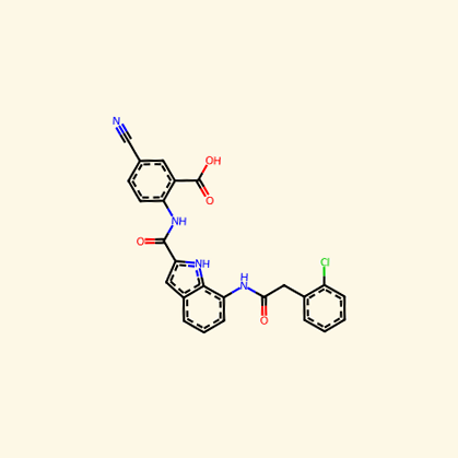 N#Cc1ccc(NC(=O)c2cc3cccc(NC(=O)Cc4ccccc4Cl)c3[nH]2)c(C(=O)O)c1